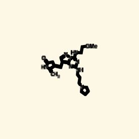 C=C1NC(=O)C/C1=C\c1cnn2c(NCCOC)nc(NCCCN3CCCC3)nc12